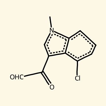 Cn1cc(C(=O)C=O)c2c(Cl)cccc21